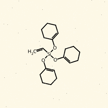 C=C[Si](OC1=CCCCC1)(OC1=CCCCC1)OC1=CCCCC1